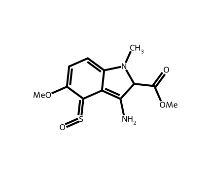 COC(=O)C1C(N)=C2C(=CC=C(OC)C2=S=O)N1C